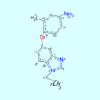 CCn1cnc2cc(Oc3ccc(N)cc3C)ccc21